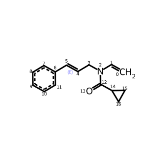 C=CN(C/C=C/c1ccccc1)C(=O)C1CC1